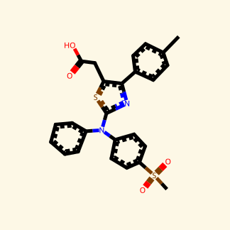 Cc1ccc(-c2nc(N(c3ccccc3)c3ccc(S(C)(=O)=O)cc3)sc2CC(=O)O)cc1